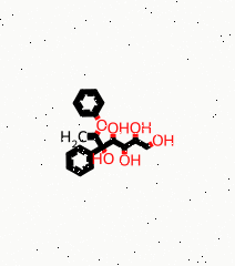 C=C(Oc1ccccc1)C(O)(c1ccccc1)C(O)C(O)C(O)CO